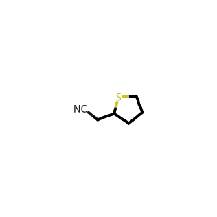 N#CCC1CCCS1